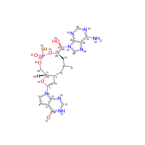 CC1CC2C=C(n3ccc4c(=O)[nH]cnc43)O[C@@H]2COP(=O)(S)O[C@@H]([C@@H](O)n2cnc3c(N)ncnc32)C1